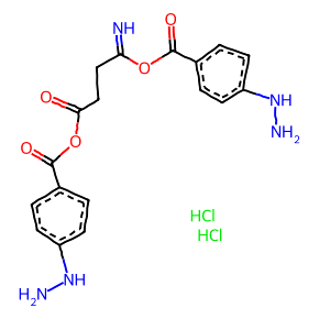 Cl.Cl.N=C(CCC(=O)OC(=O)c1ccc(NN)cc1)OC(=O)c1ccc(NN)cc1